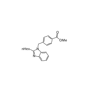 CCCCCCc1nc2ccccc2n1Cc1ccc(C(=O)OC)cc1